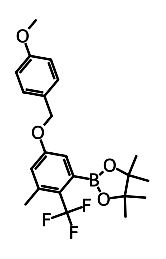 COc1ccc(COc2cc(C)c(C(F)(F)F)c(B3OC(C)(C)C(C)(C)O3)c2)cc1